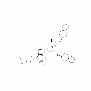 C#C[C@]1(COC(=O)C2CCC3(CCCC3)CC2)O[C@@H](n2cnc3c(NC(=O)[C@H]4CCC(=O)O4)nc(F)nc32)C[C@@H]1OC(=O)C1CCC2(CCCC2)CC1